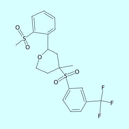 CC1(S(=O)(=O)c2cccc(C(F)(F)F)c2)CCOC(c2ccccc2S(C)(=O)=O)C1